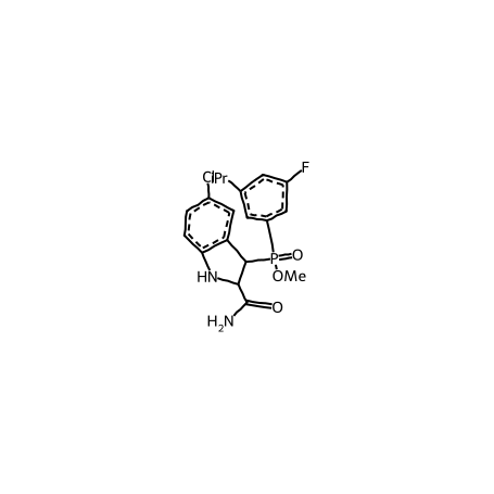 COP(=O)(c1cc(F)cc(C(C)C)c1)C1c2cc(Cl)ccc2NC1C(N)=O